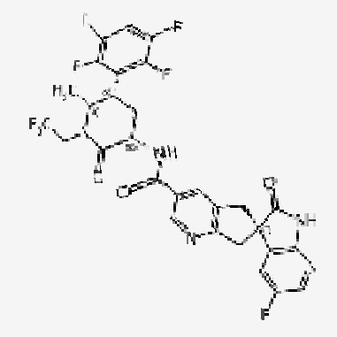 C[C@@H]1[C@H](c2c(F)c(F)cc(F)c2F)C[C@H](NC(=O)c2cnc3c(c2)C[C@@]2(C3)C(=O)Nc3ncc(F)cc32)C(=O)N1CC(F)(F)F